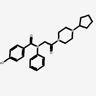 COc1ccc(C(=O)N(CC(=O)N2CCN(C3CCCC3)CC2)c2ccccc2)cc1